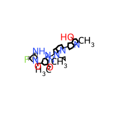 COc1cc(C(=O)N2C[C@H](N)C[C@@H](F)C2)cc2nc(-c3cc4ccc(-c5ccc6nc(C)cc(O)c6c5)nc4n3CC3CC3)n(C)c12